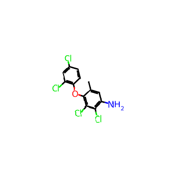 Cc1cc(N)c(Cl)c(Cl)c1Oc1ccc(Cl)cc1Cl